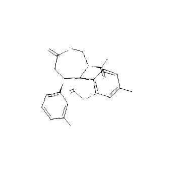 C=C(C)[C@@H]1CNC(=O)C[C@H](c2cccc(Cl)c2)[C@@]12C(=O)Nc1cc(Cl)ccc12